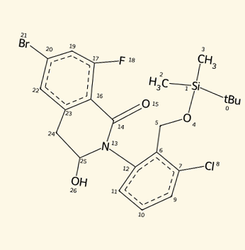 CC(C)(C)[Si](C)(C)OCc1c(Cl)cccc1N1C(=O)c2c(F)cc(Br)cc2CC1O